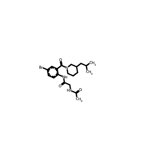 CC(=O)NCC(=O)Nc1ccc(Br)cc1C(=O)N1CCCC(CC(C)C)C1